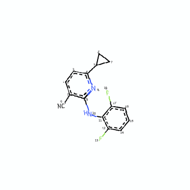 N#Cc1ccc(C2CC2)nc1Nc1c(F)cccc1F